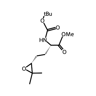 COC(=O)[C@H](CC[C@H]1OC1(C)C)NC(=O)OC(C)(C)C